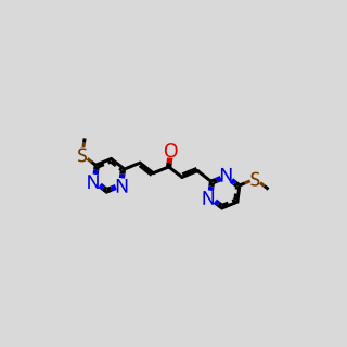 CSc1cc(/C=C/C(=O)/C=C/c2nccc(SC)n2)ncn1